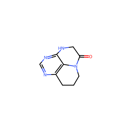 O=C1CNc2ncnc3c2N1CCC3